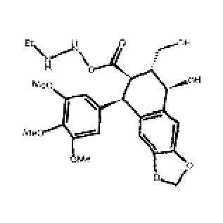 CCNNOC(=O)[C@@H]1[C@H](c2cc(OC)c(OC)c(OC)c2)c2cc3c(cc2[C@H](O)[C@H]1CO)OCO3